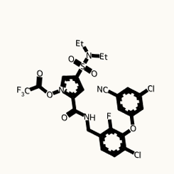 CCN(CC)S(=O)(=O)c1cc(C(=O)NCc2ccc(Cl)c(Oc3cc(Cl)cc(C#N)c3)c2F)n(OC(=O)C(F)(F)F)c1